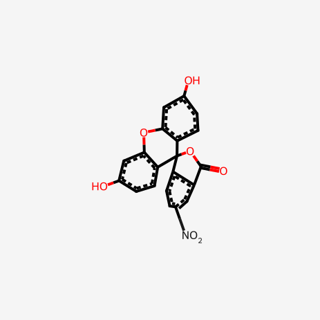 O=C1OC2(c3ccc(O)cc3Oc3cc(O)ccc32)c2ccc([N+](=O)[O-])cc21